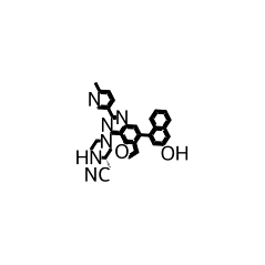 Cc1ccc(-c2nc(N3CCN[C@@H](CC#N)C3)c3c(cc(-c4cc(O)cc5ccccc45)c4ccoc43)n2)cn1